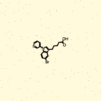 O=C(O)CCCCc1cn(-c2cccnc2)c2ccc(Br)cc12